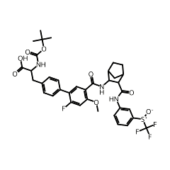 COc1cc(F)c(-c2ccc(CC(NC(=O)OC(C)(C)C)C(=O)O)cc2)cc1C(=O)NC1C2CCC(C2)C1C(=O)Nc1cccc([S+]([O-])C(F)(F)F)c1